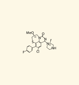 CO[C@@H]1CSc2c(-c3ccc(F)cc3)c(Cl)cc3c(N4CCNC[C@@H]4C)nc(=O)n(c23)C1